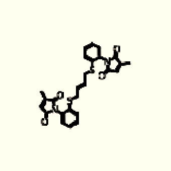 CC1=CC(=O)N(c2ccccc2SCC=CCSc2ccccc2N2C(=O)C=C(C)C2=O)C1=O